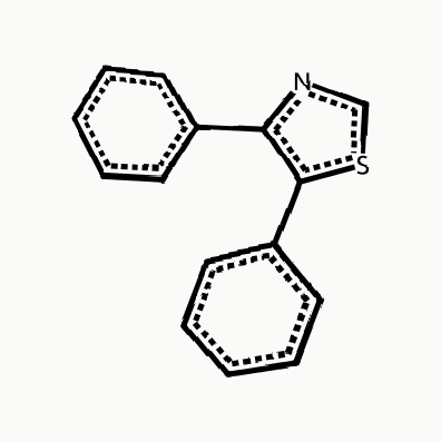 c1ccc(-c2ncsc2-c2ccccc2)cc1